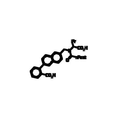 CCCCCC(=O)N(Cc1ccc2cc(-c3ccccc3C(=O)O)ccc2c1)[C@H](C(=O)O)C(C)C